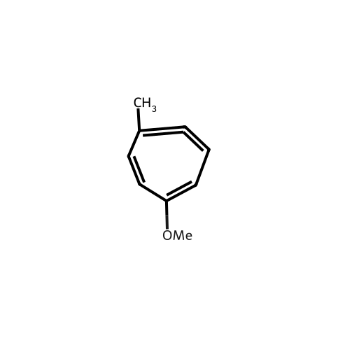 COC1=CC=C=C(C)C=C1